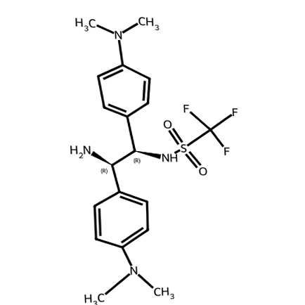 CN(C)c1ccc([C@@H](N)[C@H](NS(=O)(=O)C(F)(F)F)c2ccc(N(C)C)cc2)cc1